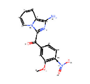 COc1cc(C(=O)c2nc(N)c3ccccn23)ccc1[N+](=O)[O-]